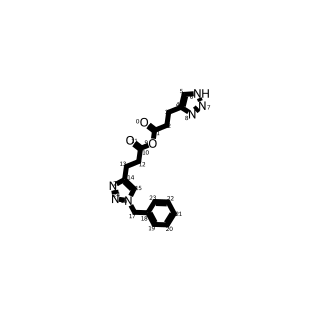 O=C(CCc1c[nH]nn1)OC(=O)CCc1cn(Cc2ccccc2)nn1